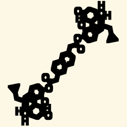 O=C(Cc1ccc2cc(CC(=O)Oc3ccc4c5c3O[C@H]3C(=O)CC[C@@]6(O)[C@@H](C4)N(CC4CC4)CC[C@]536)ccc2c1)Oc1ccc2c3c1O[C@H]1C(=O)CC[C@@]4(O)[C@@H](C2)N(CC2CC2)CC[C@]314